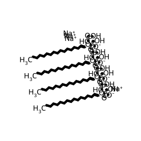 CCCCCCCCCCCCCCCC=COP(=O)([O-])C(O)P(=O)(O)O.CCCCCCCCCCCCCCCC=COP(=O)([O-])C(O)P(=O)(O)O.CCCCCCCCCCCCCCCC=COP(=O)([O-])C(O)P(=O)(O)O.CCCCCCCCCCCCCCCC=COP(=O)([O-])C(O)P(=O)(O)O.[Na+].[Na+].[Na+].[Na+]